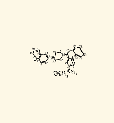 C=O.Cc1cc(C(=O)N2CCN(c3ccc4c(c3)OCCO4)CC2)n(-c2ccccc2)n1